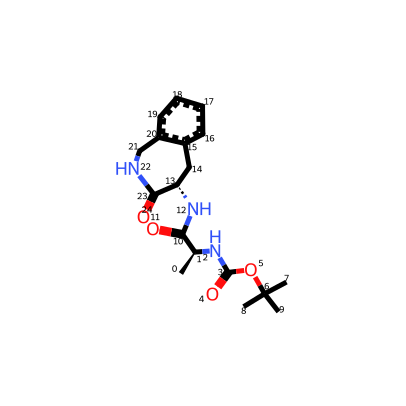 C[C@H](NC(=O)OC(C)(C)C)C(=O)N[C@H]1Cc2ccccc2CNC1=O